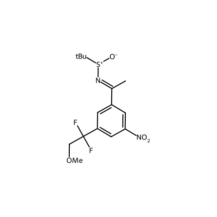 COCC(F)(F)c1cc(C(C)=N[S+]([O-])C(C)(C)C)cc([N+](=O)[O-])c1